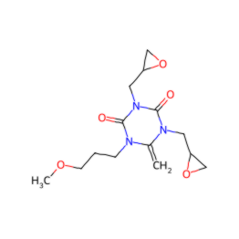 C=C1N(CCCOC)C(=O)N(CC2CO2)C(=O)N1CC1CO1